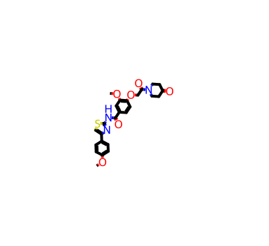 COc1ccc(-c2csc(NC(=O)c3ccc(OCC(=O)N4CCC(=O)CC4)c(OC)c3)n2)cc1